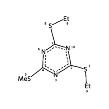 CCSc1nc(SC)nc(SCC)n1